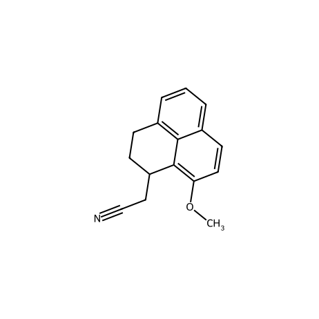 COc1ccc2cccc3c2c1C(CC#N)CC3